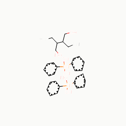 CCC(CO)C(CC)CO.O[PH](O)(c1ccccc1)c1ccccc1.O[PH](O)(c1ccccc1)c1ccccc1